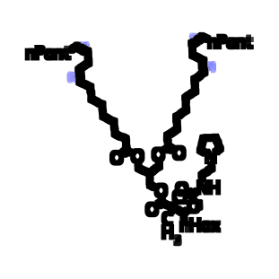 CCCCC/C=C\C/C=C\CCCCCCCC(=O)OCC(COC(=O)CCCCCCC/C=C\C/C=C\CCCCC)COC(=O)C(C)(C)C(CCCCCC)OC(=O)NCCN1CCCC1